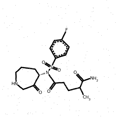 CC(C[CH]C(=O)N([C@H]1CCCNCC1=O)S(=O)(=O)c1ccc(F)cc1)C(N)=O